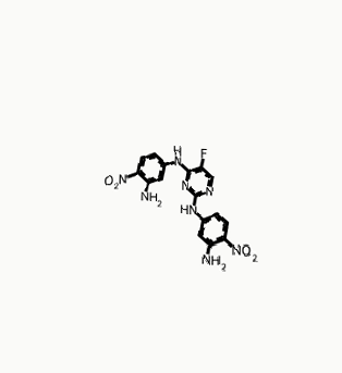 Nc1cc(Nc2ncc(F)c(Nc3ccc([N+](=O)[O-])c(N)c3)n2)ccc1[N+](=O)[O-]